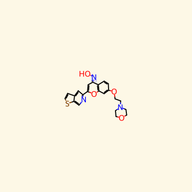 O/N=c1\cc(-c2cc3ccsc3cn2)oc2cc(OCCN3CCOCC3)ccc12